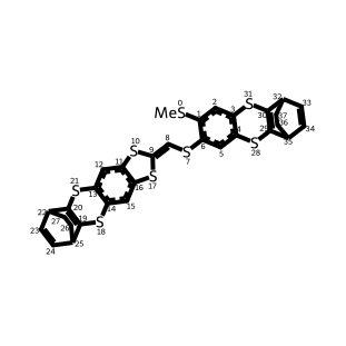 CSc1cc2c(cc1SC=C1Sc3cc4c(cc3S1)SC1=C(S4)C3C=CC1CC3)SC1=C(S2)C2C=CC1CC2